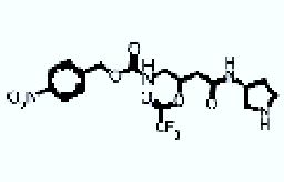 O=C(CC(CNC(=O)OCc1ccc([N+](=O)[O-])cc1)OC(=O)C(F)(F)F)N[C@H]1CCNC1